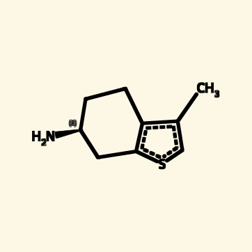 Cc1csc2c1CC[C@H](N)C2